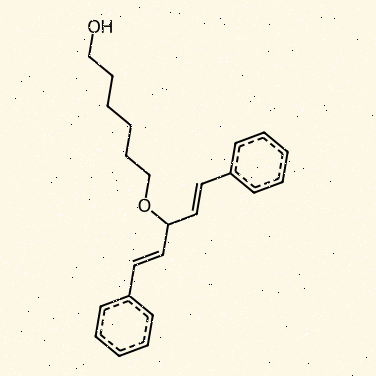 OCCCCCCOC(C=Cc1ccccc1)C=Cc1ccccc1